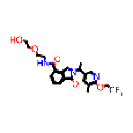 Cc1cc(C(C)N2Cc3c(C(=O)NCCOCCO)cccc3C2=O)cnc1OCC(F)(F)F